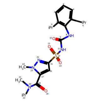 CC(C)c1cccc(C(C)C)c1NC(=O)NS(=O)(=O)c1cc(C(=O)N(C)C(C)C)n(C)n1